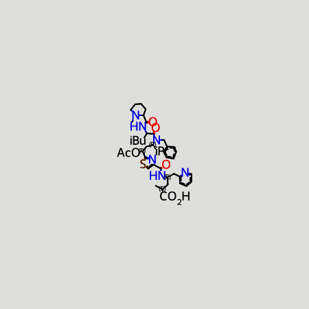 CCC(C)C(NC(=O)C1CCCCN1C)C(=O)N(Cc1ccccc1)[C@H](C[C@@H](OC(C)=O)c1nc(C(=O)N[C@@H](Cc2ccccn2)C[C@H](C)C(=O)O)cs1)C(C)C